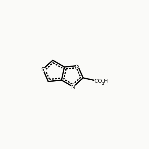 O=C(O)c1nc2cscc2s1